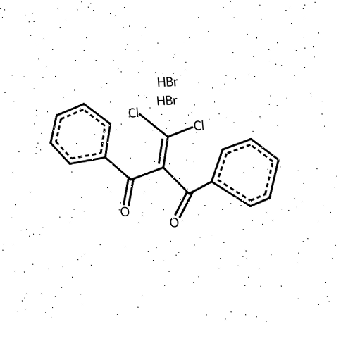 Br.Br.O=C(C(C(=O)c1ccccc1)=C(Cl)Cl)c1ccccc1